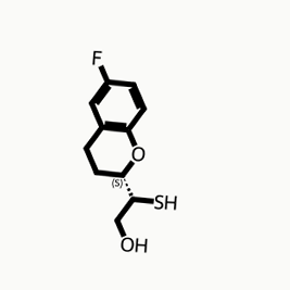 OCC(S)[C@@H]1CCc2cc(F)ccc2O1